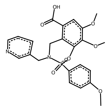 COc1ccc(S(=O)(=O)N(Cc2cccnc2)Cc2c(C(=O)O)cc(OC)c(OC)c2OC)cc1